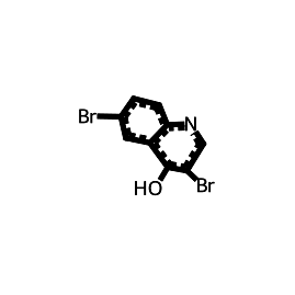 Oc1c(Br)cnc2ccc(Br)cc12